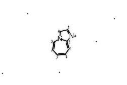 C1=CC=C2N=CCN2C=C1